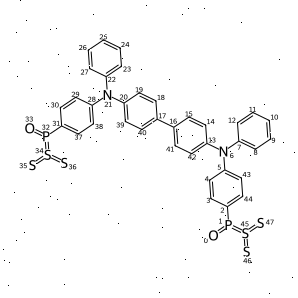 O=P(c1ccc(N(c2ccccc2)c2ccc(-c3ccc(N(c4ccccc4)c4ccc(P(=O)=S(=S)=S)cc4)cc3)cc2)cc1)=S(=S)=S